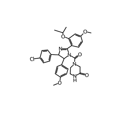 COc1ccc(C2C(c3ccc(Cl)cc3)N=C(c3ccc(OC)cc3OC(C)C)N2C(=O)N2CCNC(=O)C2)cc1